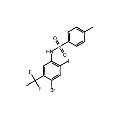 Cc1ccc(S(=O)(=O)Nc2cc(C(F)(F)F)c(Br)cc2I)cc1